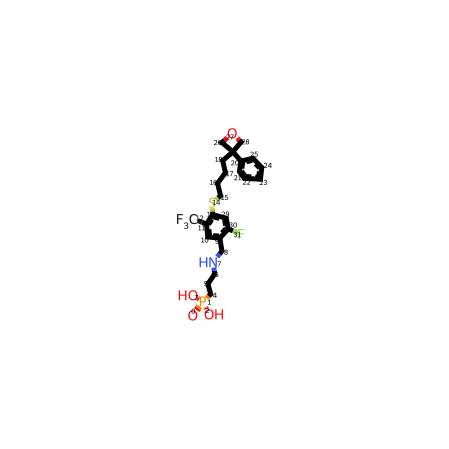 O=P(O)(O)CCCNCc1cc(C(F)(F)F)c(SCCCCC2(c3ccccc3)COC2)cc1F